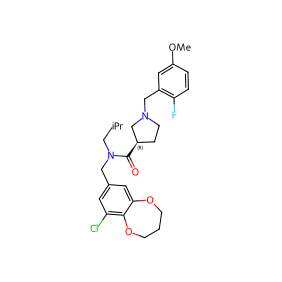 COc1ccc(F)c(CN2CC[C@@H](C(=O)N(Cc3cc(Cl)c4c(c3)OCCCO4)CC(C)C)C2)c1